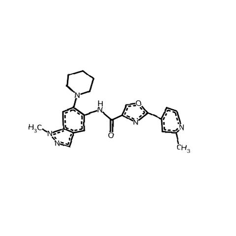 Cc1cc(-c2nc(C(=O)Nc3cc4cnn(C)c4cc3N3CCCCC3)co2)ccn1